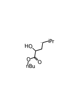 CCCCOC(=O)C(O)C[CH]C(C)C